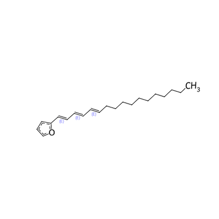 CCCCCCCCCCC/C=C/C=C/C=C/c1ccco1